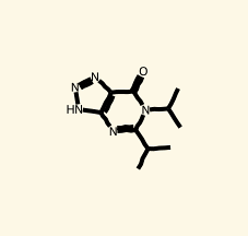 CC(C)c1nc2[nH]nnc2c(=O)n1C(C)C